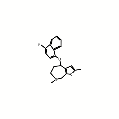 Cc1cc2c(o1)CN(C)CCC2Oc1ccc(Br)c2ccccc12